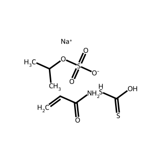 C=CC(N)=O.CC(C)OS(=O)(=O)[O-].OC(=S)S.[Na+]